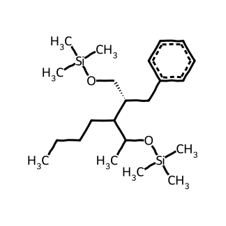 CCCCC(C(C)O[Si](C)(C)C)[C@H](CO[Si](C)(C)C)Cc1ccccc1